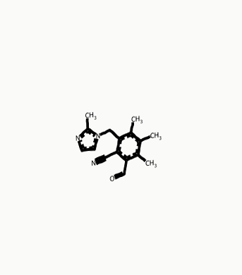 Cc1c(C)c(C=O)c(C#N)c(Cn2ccnc2C)c1C